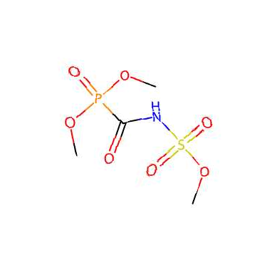 COP(=O)(OC)C(=O)NS(=O)(=O)OC